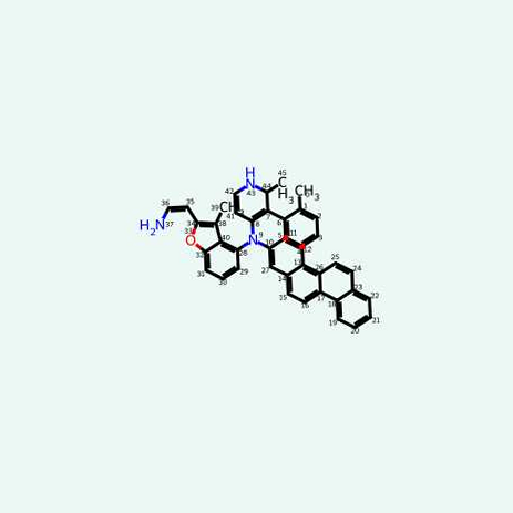 Cc1ccccc1C1=C(N(c2ccc3c(ccc4c5ccccc5ccc34)c2)c2cccc3oc(/C=C\N)c(C)c23)C=CNC1C